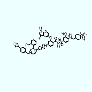 CC(C)c1ccccc1C1CN(Cc2ccc(C3COC3)cc2)CCN1C1CC2(C1)CN(c1ccc(C(=O)NS(=O)(=O)c3ccc(NCC4CCC(C)(O)CC4)c([N+](=O)[O-])c3)c(Oc3cnc4[nH]cc(F)c4c3)c1)C2